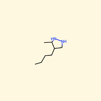 CCCCC1CNNC1C